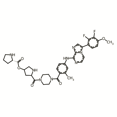 COc1ccc(-c2cnc3c(Nc4ccc(C(=O)N5CCN(C(=O)C6CC(OC(=O)[C@@H]7CCCN7)CN6)CC5)c(C)c4)nccn23)c(F)c1F